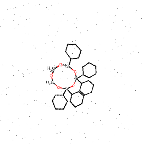 C1CCC([SiH]2O[SiH2]O[SiH2]O[Si](C3CCCCC3)(C3CCCCC3)O[Si](C3CCCCC3)(C3CCCCC3)O2)CC1